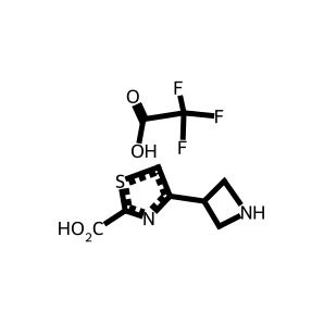 O=C(O)C(F)(F)F.O=C(O)c1nc(C2CNC2)cs1